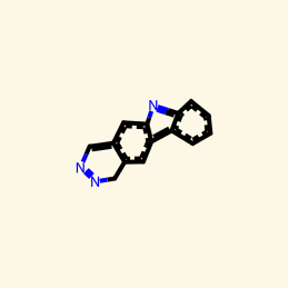 C1=c2cc3c(cc2CN=N1)=c1ccccc1=N3